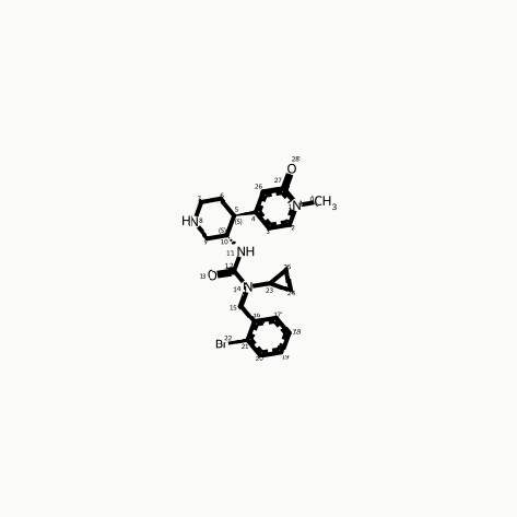 Cn1ccc([C@@H]2CCNC[C@H]2NC(=O)N(Cc2ccccc2Br)C2CC2)cc1=O